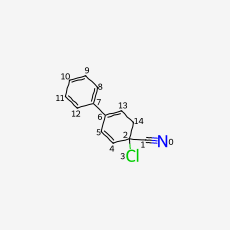 N#CC1(Cl)C=CC(c2ccccc2)=CC1